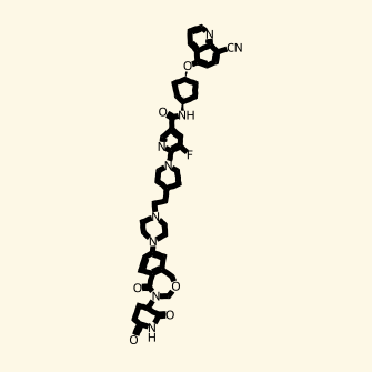 N#Cc1ccc(O[C@H]2CC[C@H](NC(=O)c3cnc(N4CCC(CCN5CCN(c6ccc7c(c6)COCN(C6CCC(=O)NC6=O)C7=O)CC5)CC4)c(F)c3)CC2)c2cccnc12